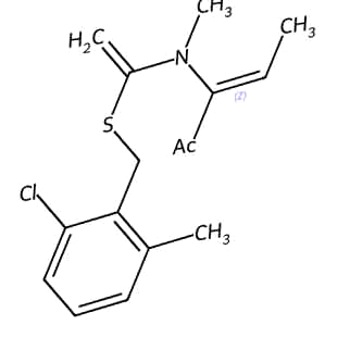 C=C(SCc1c(C)cccc1Cl)N(C)/C(=C\C)C(C)=O